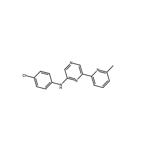 Cc1cccc(-c2cncc(Nc3ccc(Cl)cc3)n2)n1